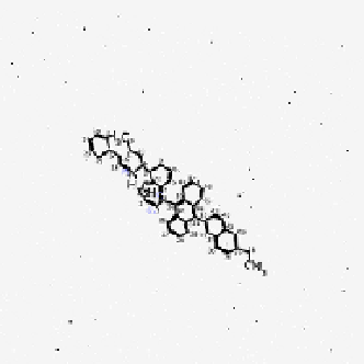 C/C=C\C(=C1\C=CCC(C(CCC)/N=C\CC2C=CC=CC2)C1C)c1c2ccccc2c(C2=CC3C=CC(CC)=CC3C=C2)c2ccccc12